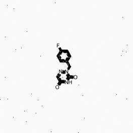 O=c1cnn(Cc2ccc(F)cc2)c(=O)[nH]1